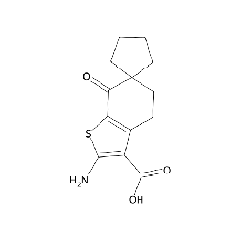 Nc1sc2c(c1C(=O)O)CCC1(CCCC1)C2=O